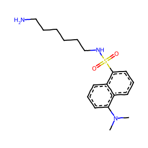 CN(C)c1cccc2c(S(=O)(=O)NCCCCCCN)cccc12